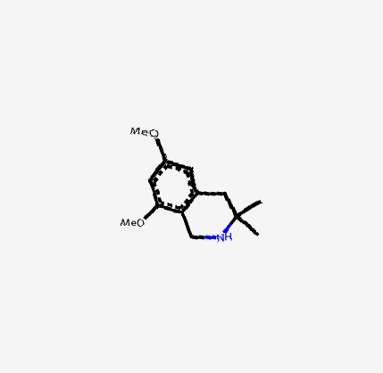 COc1cc2c(c(OC)c1)CNC(C)(C)C2